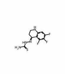 NC(=S)NN=C1CCNc2cc(F)c(F)c(F)c21